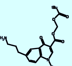 CCn1cc(C(=O)OCOC(=O)C(C)(C)C)c(=O)c2cc(CCCN)ccc21